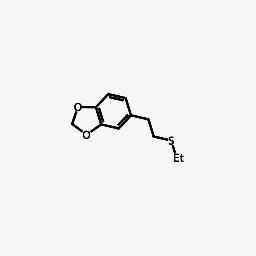 CCSCCc1ccc2c(c1)OCO2